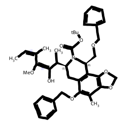 C/C=C(C)\C(OC)=C(\O)C(C)[C@@H]1Cc2c(OCc3ccccc3)c(C)c3c(c2[C@H](COCc2ccccc2)N1C(=O)OC(C)(C)C)OCO3